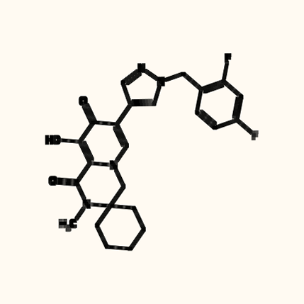 CN1C(=O)c2c(O)c(=O)c(-c3cnn(Cc4ccc(F)cc4F)c3)cn2CC12CCCCC2